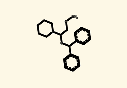 [SiH3]OCC(OC(c1ccccc1)c1ccccc1)N1CCCCC1